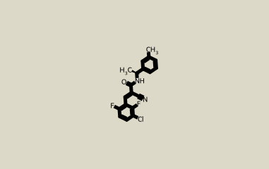 Cc1cccc([C@H](C)NC(=O)/C(C#N)=C/c2c(F)ccc(Cl)c2F)c1